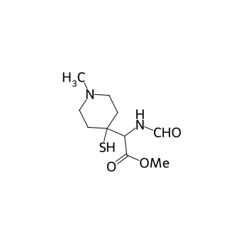 COC(=O)C(NC=O)C1(S)CCN(C)CC1